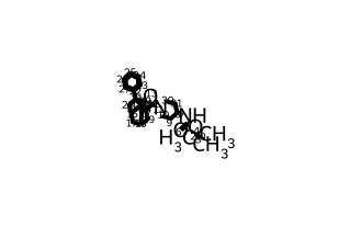 CC(C)(C)OC(=O)NC1CCN(C(=O)C23CC4CC(C2)CC(c2ccccc2)(C4)C3)CC1